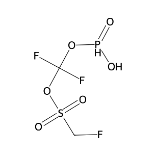 O=[PH](O)OC(F)(F)OS(=O)(=O)CF